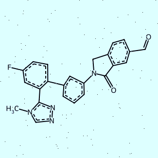 Cn1cnnc1-c1cc(F)ccc1-c1cccc(N2Cc3ccc(C=O)cc3C2=O)c1